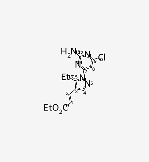 CCOC(=O)/C=C/c1cnn(-c2cc(Cl)nc(N)n2)c1CC